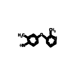 Cc1cc(Oc2cccnc2C)ccc1[NH]